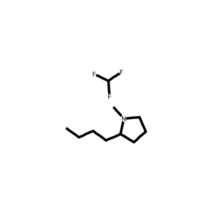 CCCCC1CCCN1C.FC(F)F